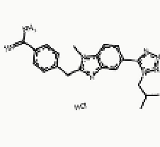 CC(C)Cn1nnnc1-c1ccc2c(c1)nc(Cc1ccc(C(=N)N)cc1)n2C.Cl